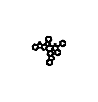 c1ccc(-c2nc(-n3c4ccccc4c4c5oc6ccccc6c5cc(-c5ccc6sc7ccccc7c6c5)c43)nc3ccccc23)cc1